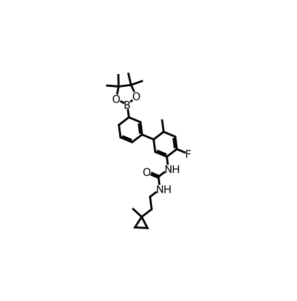 CC1C=C(F)C(NC(=O)NCCC2(C)CC2)=CC1C1=CC(B2OC(C)(C)C(C)(C)O2)CC=C1